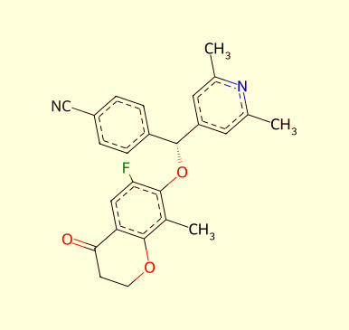 Cc1cc([C@H](Oc2c(F)cc3c(c2C)OCCC3=O)c2ccc(C#N)cc2)cc(C)n1